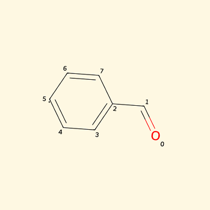 O=Cc1cc[c]cc1